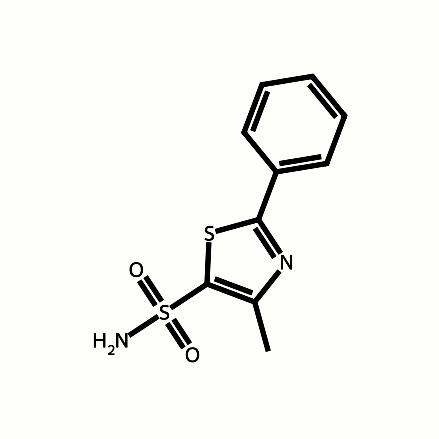 Cc1nc(-c2ccccc2)sc1S(N)(=O)=O